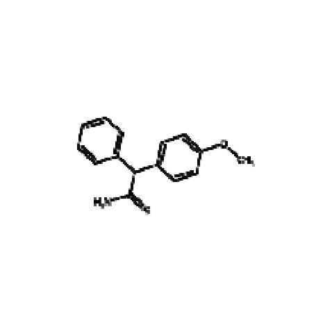 COc1ccc(C(C(N)=S)c2ccccc2)cc1